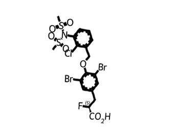 CS(=O)(=O)N(c1cccc(COc2c(Br)cc(C[C@H](F)C(=O)O)cc2Br)c1Cl)S(C)(=O)=O